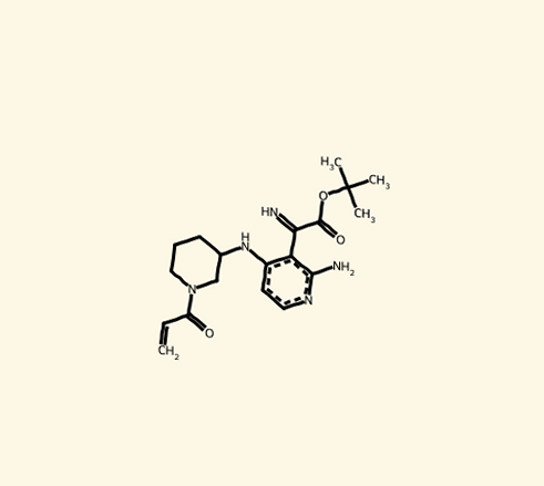 C=CC(=O)N1CCCC(Nc2ccnc(N)c2C(=N)C(=O)OC(C)(C)C)C1